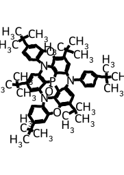 CC(C)(C)c1ccc(N2c3cc(C(C)(C)C)c4c5c3P3(=O)c6c(cc(C(C)(C)C)cc6N6c7ccc(C(C)(C)C)cc7Oc7c(C(C)(C)C)cc2c3c76)N5c2ccc(C(C)(C)C)cc2O4)cc1